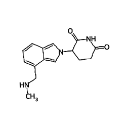 CNCc1cccc2cn(C3CCC(=O)NC3=O)cc12